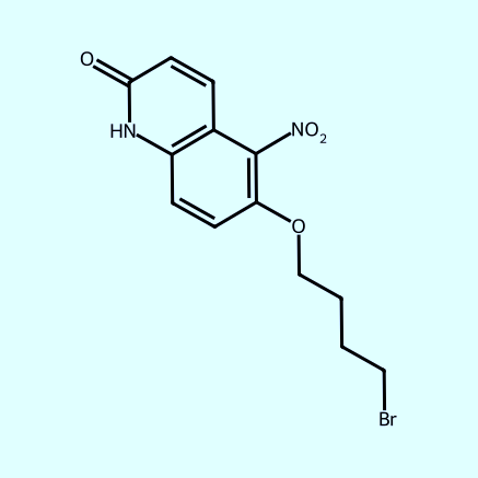 O=c1ccc2c([N+](=O)[O-])c(OCCCCBr)ccc2[nH]1